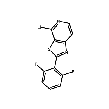 Fc1cccc(F)c1-c1nc2ccnc(Cl)c2s1